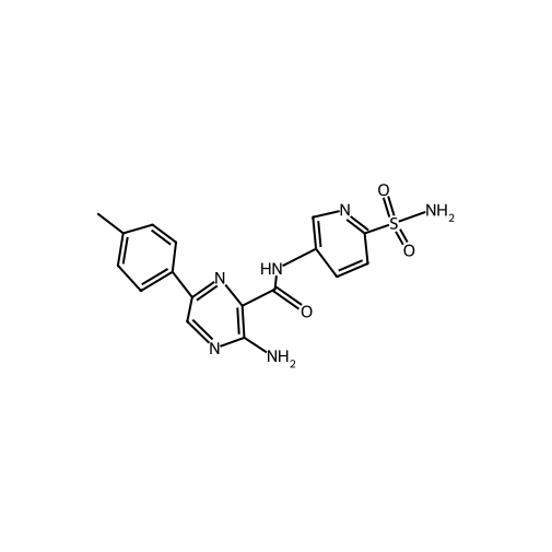 Cc1ccc(-c2cnc(N)c(C(=O)Nc3ccc(S(N)(=O)=O)nc3)n2)cc1